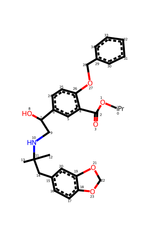 CC(C)OC(=O)c1cc(C(O)CNC(C)(C)Cc2ccc3c(c2)OCO3)ccc1OCc1ccccc1